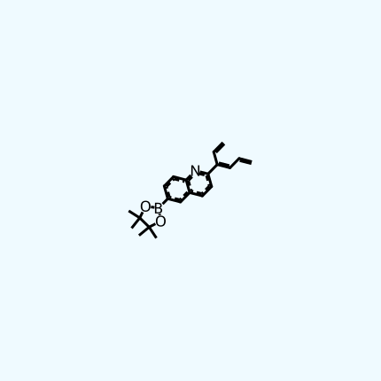 C=C/C=C(\C=C)c1ccc2cc(B3OC(C)(C)C(C)(C)O3)ccc2n1